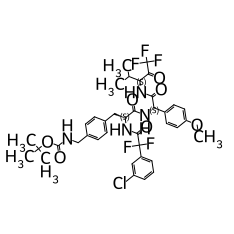 COc1ccc([C@H](NC(=O)[C@H](Cc2ccc(CNC(=O)OC(C)(C)C)cc2)NC(=O)C(F)(F)c2cccc(Cl)c2)C(=O)N[C@H](C(=O)C(F)(F)F)C(C)C)cc1